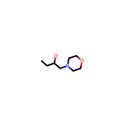 CCC([O])CN1CCOCC1